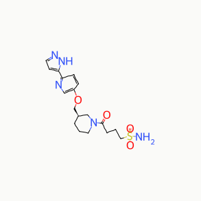 NS(=O)(=O)CCCC(=O)N1CCC[C@@H](COc2ccc(-c3ccn[nH]3)nc2)C1